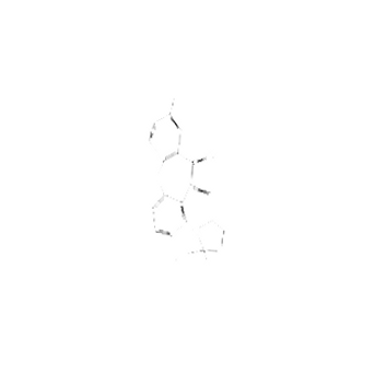 CC1(C)OC[C@@H](/C=C2/C(=O)c3cc(F)ccc3Oc3ccccc32)O1